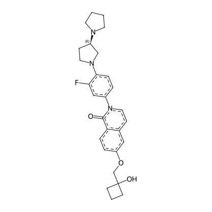 O=c1c2ccc(OCC3(O)CCC3)cc2ccn1-c1ccc(N2CC[C@@H](N3CCCC3)C2)c(F)c1